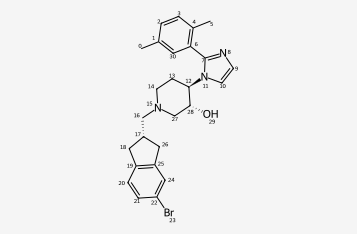 Cc1ccc(C)c(-c2nccn2[C@@H]2CCN(C[C@H]3Cc4ccc(Br)cc4C3)C[C@H]2O)c1